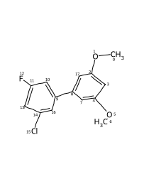 COc1cc(OC)cc(-c2cc(F)[c]c(Cl)c2)c1